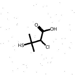 CC(C)(S)C(Cl)C(=O)O